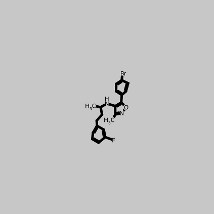 Cc1noc(-c2ccc(Br)cc2)c1NC(C)CCc1cccc(F)c1